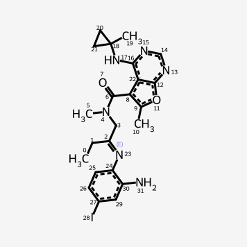 CC/C(CN(C)C(=O)c1c(C)oc2ncnc(NC3(C)CC3)c12)=N\c1ccc(I)cc1N